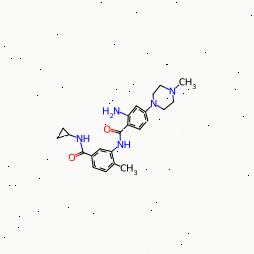 Cc1ccc(C(=O)NC2CC2)cc1NC(=O)c1ccc(N2CCN(C)CC2)cc1N